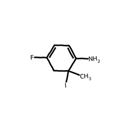 CC1(I)CC(F)=CC=C1N